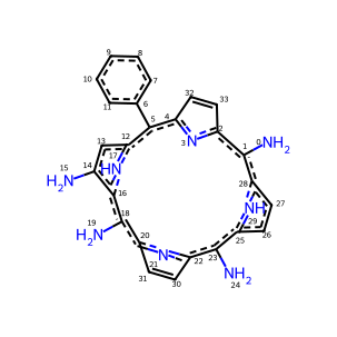 Nc1c2nc(c(-c3ccccc3)c3cc(N)c([nH]3)c(N)c3nc(c(N)c4ccc1[nH]4)C=C3)C=C2